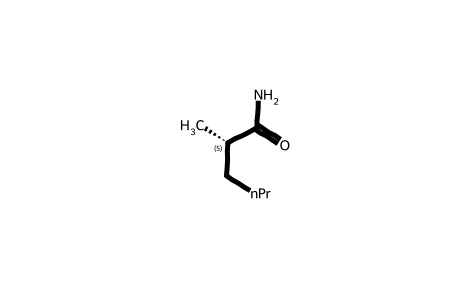 CCCC[C@H](C)C(N)=O